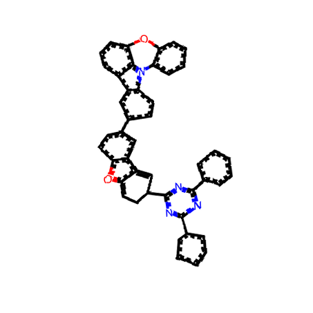 C1=c2oc3ccc(-c4ccc5c(c4)c4cccc6c4n5-c4ccccc4O6)cc3c2=CC(c2nc(-c3ccccc3)nc(-c3ccccc3)n2)C1